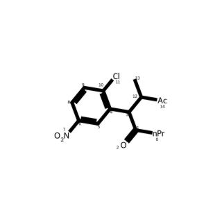 CCCC(=O)C(c1cc([N+](=O)[O-])ccc1Cl)C(C)C(C)=O